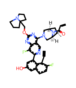 C#Cc1c(F)ccc2cc(O)cc(-c3ncc4c(N5C[C@H]6C[C@H](C)[C@@H](C5)N6C(=O)C=C)nc(OCC56CCCN5CCC6)nc4c3F)c12